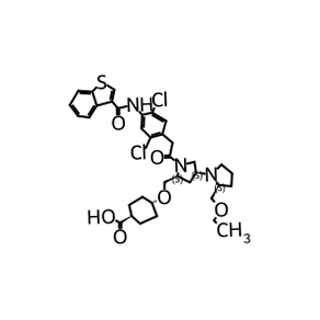 CCOC[C@@H]1CCCN1[C@H]1C[C@@H](CO[C@H]2CC[C@H](C(=O)O)CC2)N(C(=O)Cc2cc(Cl)c(NC(=O)c3csc4ccccc34)cc2Cl)C1